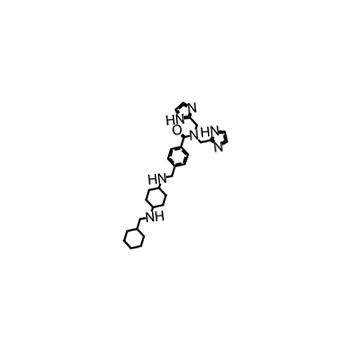 O=C(c1ccc(CNC2CCC(NCC3CCCCC3)CC2)cc1)N(Cc1ncc[nH]1)Cc1ncc[nH]1